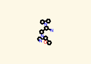 N#Cc1cc(-c2cccc(-n3c4cccnc4c4c5oc6ccccc6c5ccc43)c2)cc(-n2c3ccccc3c3ccccc32)c1